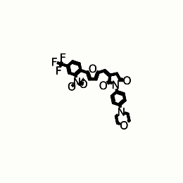 O=C1CC(=Cc2ccc(-c3ccc(C(F)(F)F)cc3[N+](=O)[O-])o2)C(=O)N1c1ccc(N2CCOCC2)cc1